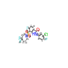 O=C(Nc1ccc(F)c(Cl)c1)c1ccc(F)c(S(=O)(=O)N2CCCC(F)(F)CC2)c1